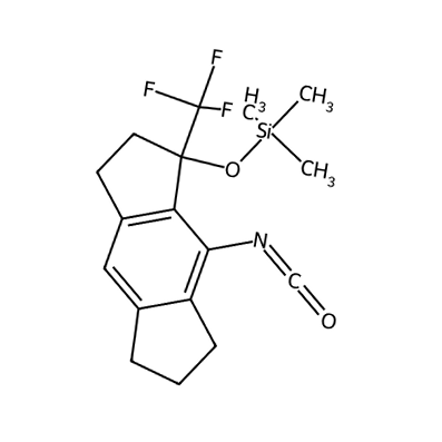 C[Si](C)(C)OC1(C(F)(F)F)CCc2cc3c(c(N=C=O)c21)CCC3